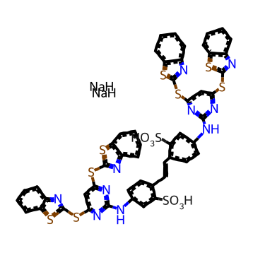 O=S(=O)(O)c1cc(Nc2nc(Sc3nc4ccccc4s3)cc(Sc3nc4ccccc4s3)n2)ccc1C=Cc1ccc(Nc2nc(Sc3nc4ccccc4s3)cc(Sc3nc4ccccc4s3)n2)cc1S(=O)(=O)O.[NaH].[NaH]